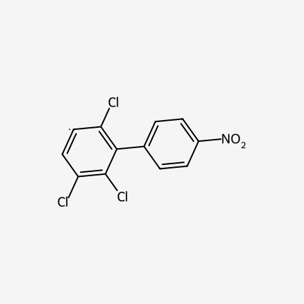 O=[N+]([O-])c1ccc(-c2c(Cl)[c]cc(Cl)c2Cl)cc1